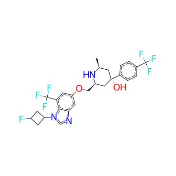 C[C@H]1C[C@@](O)(c2ccc(C(F)(F)F)cc2)C[C@@H](COc2cc(C(F)(F)F)c3c(c2)ncn3C2CC(F)C2)N1